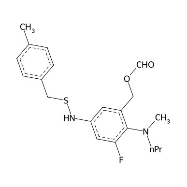 CCCN(C)c1c(F)cc(NSCc2ccc(C)cc2)cc1COC=O